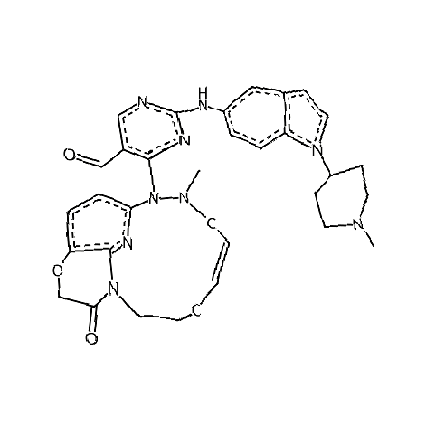 CN1CCC(n2ccc3cc(Nc4ncc(C=O)c(N5c6ccc7c(n6)N(CCC/C=C\CN5C)C(=O)CO7)n4)ccc32)CC1